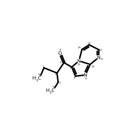 CCC(CC)C(=O)c1cnc2ncccn12